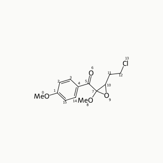 COc1ccc(C(=O)C2(OC)OC2CCCl)cc1